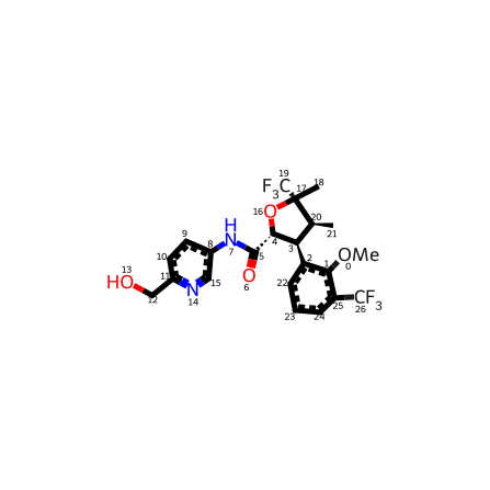 COc1c([C@H]2[C@H](C(=O)Nc3ccc(CO)nc3)O[C@@](C)(C(F)(F)F)[C@H]2C)cccc1C(F)(F)F